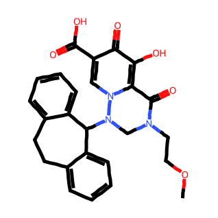 COCCN1CN(C2c3ccccc3CCc3ccccc32)n2cc(C(=O)O)c(=O)c(O)c2C1=O